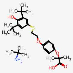 CC(C)(C)N.CC(C)(Oc1ccc(OCCSc2cc(C(C)(C)C)c(O)c(C(C)(C)C)c2)cc1)C(=O)O